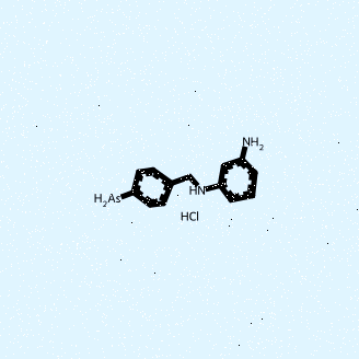 Cl.Nc1cccc(NCc2ccc([AsH2])cc2)c1